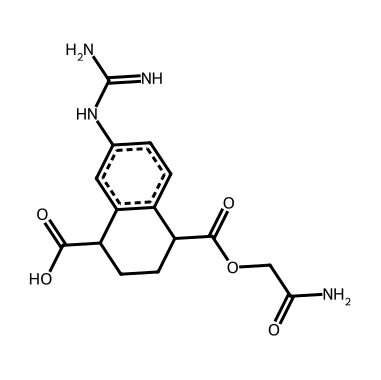 N=C(N)Nc1ccc2c(c1)C(C(=O)O)CCC2C(=O)OCC(N)=O